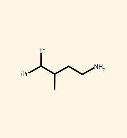 CCC(C(C)C)C(C)CCN